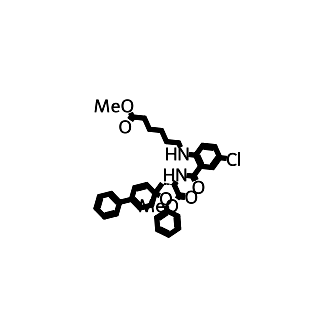 COC(=O)CCCCCNc1ccc(Cl)cc1C(=O)N[C@@H](CC1(Oc2ccccc2)C=CC(c2ccccc2)=CC1)C(=O)OC